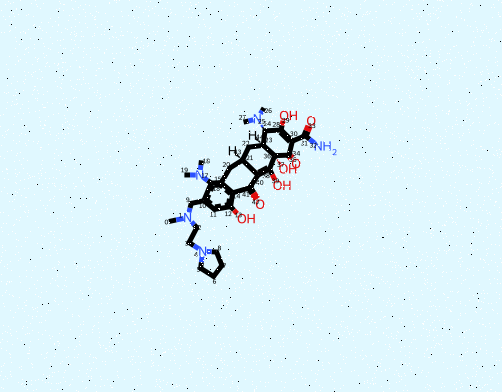 CN(CCN1CCCC1)Cc1cc(O)c2c(c1N(C)C)C[C@H]1C[C@H]3[C@H](N(C)C)C(O)=C(C(N)=O)C(=O)[C@@]3(O)C(O)=C1C2=O